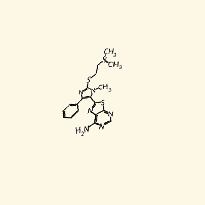 CN(C)CCSc1nc(-c2ccccc2)c(-c2nc3c(N)ncnc3s2)n1C